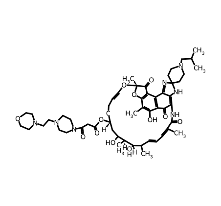 C/C1=C/C=C/C(C)[C@H](O)[C@@H](C)C(O)C[C@H](OC(=O)CC(=O)N2CCN(CCN3CCOCC3)CC2)CC/C=C/O[C@@]2(C)Oc3c(C)c(O)c4c(c3C2=O)C2=NC3(CCN(CC(C)C)CC3)NC2=C(NC1=O)C4=O